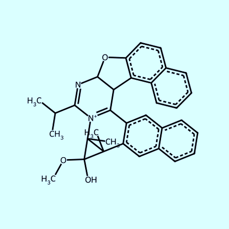 COC1(O)C2(C)c3cc4ccccc4cc3C3=[N+](C(C(C)C)=NC4Oc5ccc6ccccc6c5C34)C12C